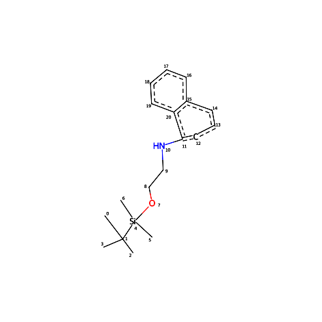 CC(C)(C)[Si](C)(C)OCCNc1cccc2ccccc12